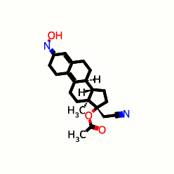 CC(=O)O[C@@]1(CC#N)CC[C@H]2[C@@H]3CCC4=C/C(=N\O)CCC4=C3CC[C@@]21C